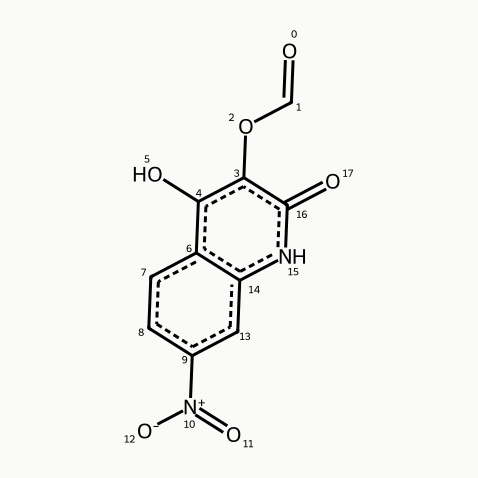 O=COc1c(O)c2ccc([N+](=O)[O-])cc2[nH]c1=O